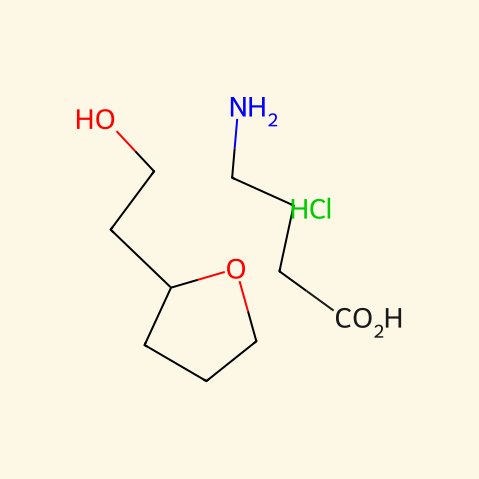 Cl.NCCCC(=O)O.OCCC1CCCO1